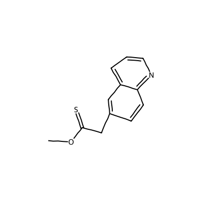 COC(=S)Cc1ccc2ncccc2c1